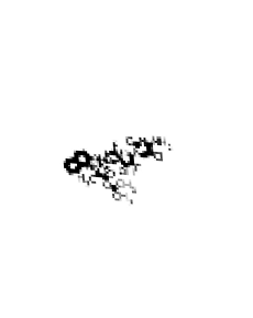 CC(C)OC(=O)[C@H](C)NP(=S)(OC[C@@]1(C(F)F)O[C@@H](n2cc(Cl)c(N)nc2=O)[C@@H](F)[C@@H]1O)Oc1ccc2ccccc2c1